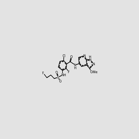 COc1n[nH]c2ncc(NC(=O)c3c(Cl)ccc(NS(=O)(=O)CCCF)c3F)cc12